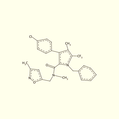 Cc1cc(CN(C)C(=O)c2c(-c3ccc(Cl)cc3)c(C)c(C(F)(F)F)n2Cc2ccccc2)on1